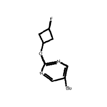 CC(C)(C)c1cnc(OC2CC(F)C2)nc1